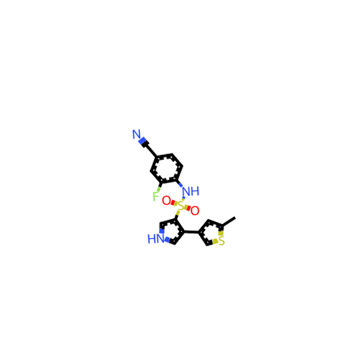 Cc1cc(-c2c[nH]cc2S(=O)(=O)Nc2ccc(C#N)cc2F)cs1